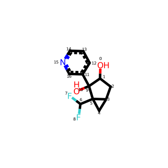 OC1CC2CC2(C(F)F)C1(O)c1cccnc1